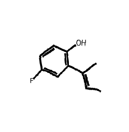 C/C=C(\C)c1cc(F)ccc1O